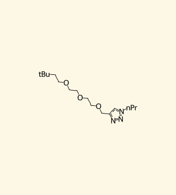 CCCn1cc(COCCOCCOCCC(C)(C)C)nn1